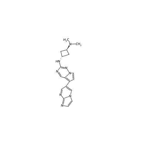 CN(C)[C@H]1C[C@H](Nc2ncc3c(-c4cnc5nccn5c4)ccn3n2)C1